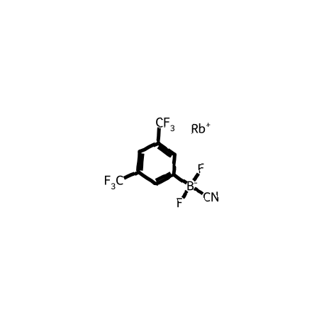 N#C[B-](F)(F)c1cc(C(F)(F)F)cc(C(F)(F)F)c1.[Rb+]